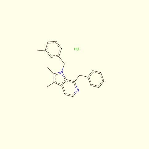 Cc1cccc(Cn2c(C)c(C)c3ccnc(Cc4ccccc4)c32)c1.Cl